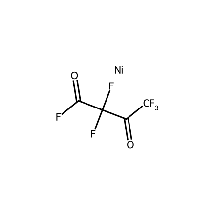 O=C(F)C(F)(F)C(=O)C(F)(F)F.[Ni]